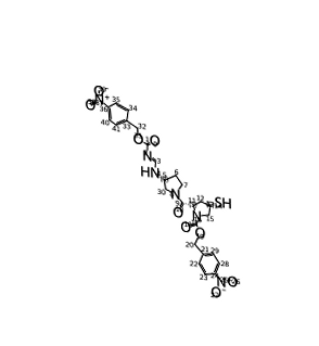 O=C(N=CN[C@@H]1CCN(C(=O)[C@@H]2C[C@H](S)CN2C(=O)OCc2ccc([N+](=O)[O-])cc2)C1)OCc1ccc([N+](=O)[O-])cc1